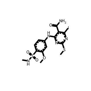 CNS(=O)(=O)c1ccc(Nc2nc(SC)nc(I)c2C(N)=O)cc1OC